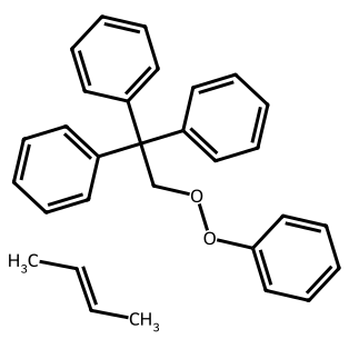 CC=CC.c1ccc(OOCC(c2ccccc2)(c2ccccc2)c2ccccc2)cc1